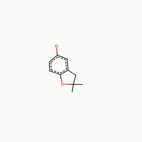 CC1(C)Cc2cc([O])ccc2O1